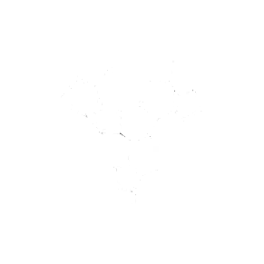 O=C(c1ccnn1C(F)F)N1CCc2[nH]cnc2[C@H]1c1cc2c(Cl)cccn2n1